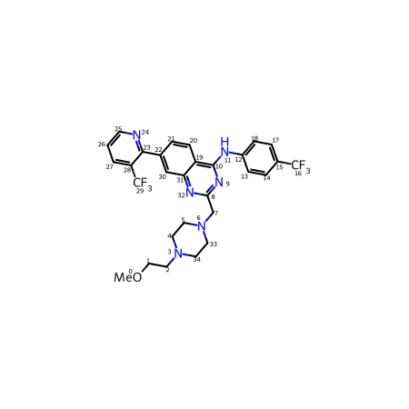 COCCN1CCN(Cc2nc(Nc3ccc(C(F)(F)F)cc3)c3ccc(-c4ncccc4C(F)(F)F)cc3n2)CC1